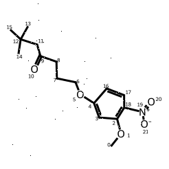 COc1cc(OCCCC(=O)CC(C)(C)C)ccc1[N+](=O)[O-]